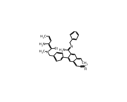 C#C/C=c1/cc(-c2ccc(CN(C)/C(CC)=C(N)/C=C\C)cc2)c(/C(N)=N/Cc2ccccc2)c/c1=C/C